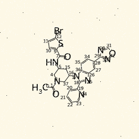 CC(=O)N1CC(NC(=O)c2ccc(Br)s2)CC(n2c(-c3ccccn3)nc3cc(-c4ncon4)ccc32)C1